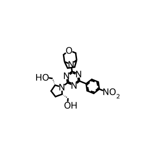 O=[N+]([O-])c1ccc(-c2nc(N3C4CCC3COC4)nc(N3[C@H](CO)CC[C@@H]3CO)n2)cc1